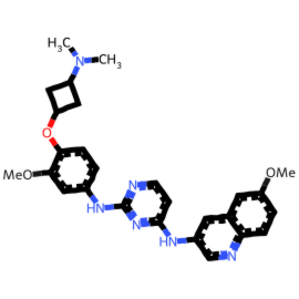 COc1ccc2ncc(Nc3ccnc(Nc4ccc(OC5CC(N(C)C)C5)c(OC)c4)n3)cc2c1